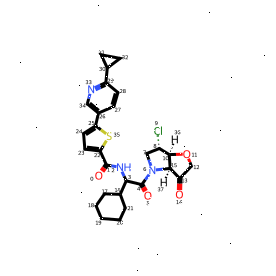 O=C(NC(C(=O)N1C[C@H](Cl)[C@H]2OCC(=O)[C@H]21)C1CCCCC1)c1ccc(-c2ccc(C3CC3)nc2)s1